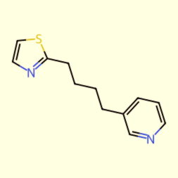 c1cncc(CCCCc2nccs2)c1